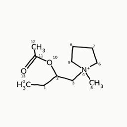 CCC(C[N+]1(C)CCCC1)OC(C)=O